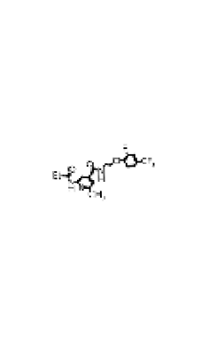 CCC(=O)Nc1cc(C(=O)NCCOc2ccc(C(F)(F)F)cc2F)cc(C)n1